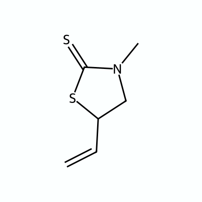 C=CC1CN(C)C(=S)S1